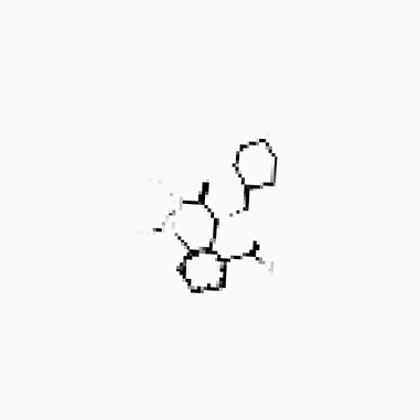 CCOc1cccc(C(N)=O)c1[C@H](CC1CCCCC1)C(=O)N(C)C#N